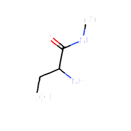 CCCNC(=O)C(N)CS(=O)(=O)O